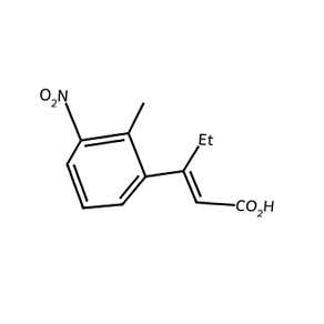 CC/C(=C\C(=O)O)c1cccc([N+](=O)[O-])c1C